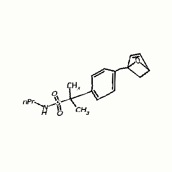 CCCNS(=O)(=O)C(C)(C)c1ccc(C23C=CC(C2)O3)cc1